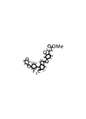 COC(=O)CC1COc2cc(O[C@@H]3CCc4c3ccc(C(F)(F)F)c4-c3ccc(OC4CCOC4)cc3)ccc21